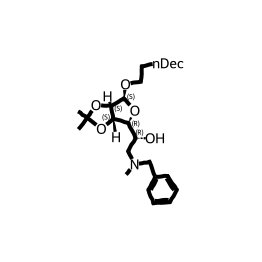 CCCCCCCCCCCCO[C@H]1O[C@H]([C@H](O)CN(C)Cc2ccccc2)[C@@H]2OC(C)(C)O[C@H]12